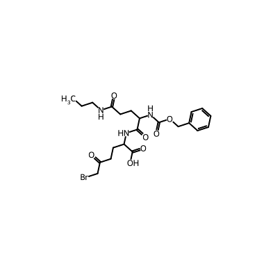 CCCNC(=O)CCC(NC(=O)OCc1ccccc1)C(=O)NC(CCC(=O)CBr)C(=O)O